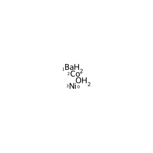 O.[BaH2].[Co].[Ni]